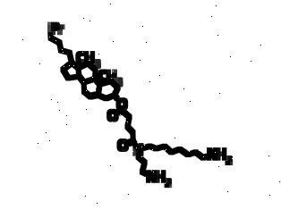 CC(C)CCCCC1CCC2C3CC=C4CC(OC(=O)CCCC(=O)N(CCCN)CCCCCCCCN)CCC4(C)C3CCC12C